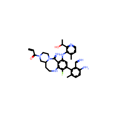 C=CC(=O)N1CCN2C(=N)c3c(Nc4c(C)ccnc4C(C)O)cc(-c4c(C)ccc(N)c4C=N)c(F)c3NCCC2C1